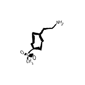 CS(=O)(=O)c1ccc(CCN)cc1